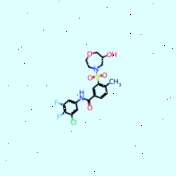 Cc1ccc(C(=O)Nc2cc(F)c(F)c(Cl)c2)cc1S(=O)(=O)N1CCOCC(O)C1